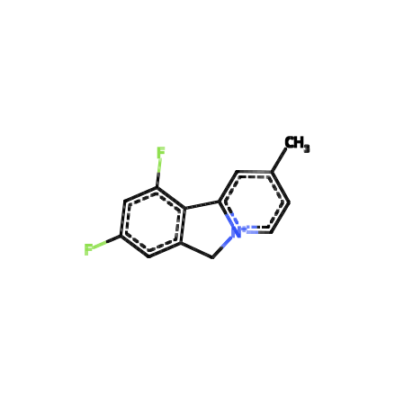 Cc1cc[n+]2c(c1)-c1c(F)cc(F)cc1C2